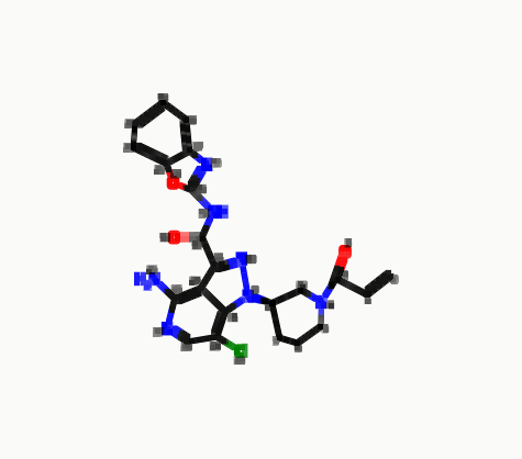 C=CC(=O)N1CCC[C@@H](n2nc(C(=O)Nc3nc4ccccc4o3)c3c(N)ncc(Cl)c32)C1